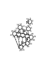 c1ccc(-c2ccc3c(c2)B2c4ccccc4-n4c5cccc6c7ccc8c9c7n(c7c%10c%11c(c2c74)n-3c2cccc3c4ccc-8c(c4n%11c32)B9%10)c65)nc1